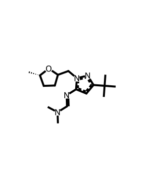 C[C@H]1CCC(Cn2nc(C(C)(C)C)cc2/N=C/N(C)C)O1